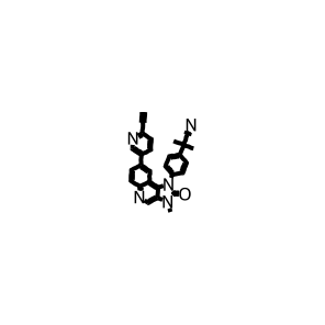 C#Cc1ccc(-c2ccc3ncc4c(c3c2)n(-c2ccc(C(C)(C)C#N)cc2)c(=O)n4C)cn1